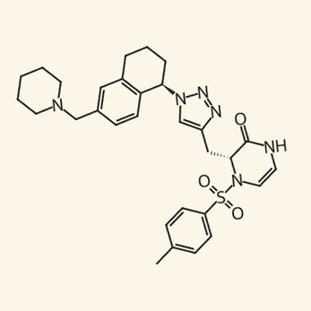 Cc1ccc(S(=O)(=O)N2C=CNC(=O)[C@H]2Cc2cn([C@@H]3CCCc4cc(CN5CCCCC5)ccc43)nn2)cc1